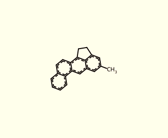 Cc1cc2c3c(c4ccc5ccccc5c4cc3c1)CC2